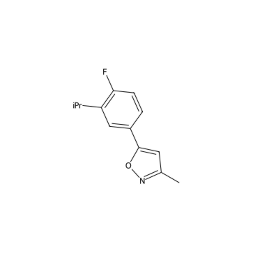 Cc1cc(-c2ccc(F)c(C(C)C)c2)on1